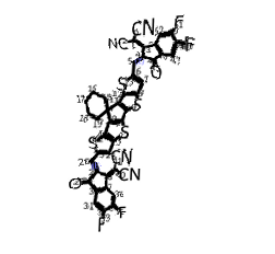 N#CC(C#N)=C1/C(=C/c2cc3sc4c(c3s2)C2(CCCCC2)c2c-4sc3cc(/C=C4/C(=O)c5cc(F)c(F)cc5C4=C(C#N)C#N)sc23)C(=O)c2cc(F)c(F)cc21